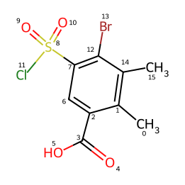 Cc1c(C(=O)O)cc(S(=O)(=O)Cl)c(Br)c1C